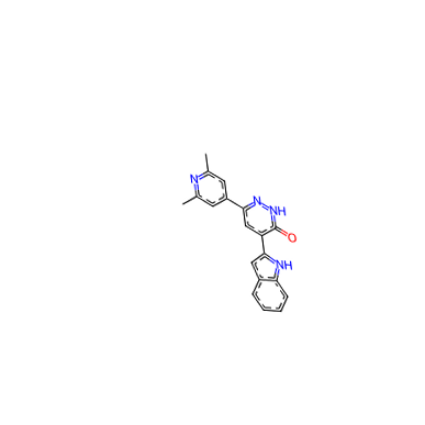 Cc1cc(-c2cc(-c3cc4ccccc4[nH]3)c(=O)[nH]n2)cc(C)n1